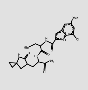 COc1cc(Cl)c2[nH]c(C(=O)NC(CC(C)(C)C)C(=O)NC(CC3CC4(CC4)NC3=O)C(N)=O)cc2c1